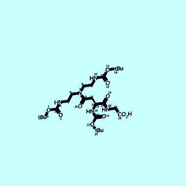 CC(C)(C)OC(=O)NCCN(CCNC(=O)OC(C)(C)C)C(=O)C[C@H](NC(=O)OC(C)(C)C)C(=O)NCC(=O)O